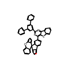 c1ccc(-c2cc(-c3ccccc3)cc(-c3nc(-c4ccc5c(c4)C4(c6ccccc6Oc6ccccc64)c4ccccc4-5)c4sc5ccccc5c4n3)c2)cc1